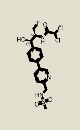 CS(=O)(=O)NCc1ccc(-c2ccc([C@@H](O)[C@@H](CF)NC(=O)C(Cl)Cl)cc2)cn1